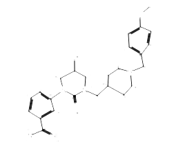 COc1ccc(CN2CCC(CN3CC(O)CN(c4cccc(C(=N)N)c4)C3=O)CC2)cc1